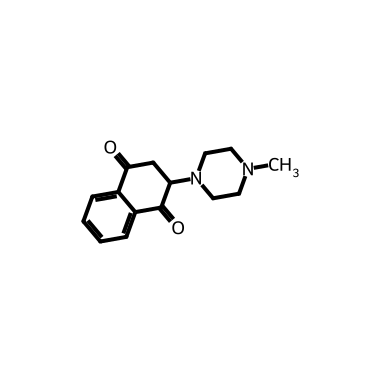 CN1CCN(C2CC(=O)c3ccccc3C2=O)CC1